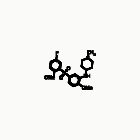 COc1ccc(S(=O)(=O)c2cc(F)ccc2OC)cc1NC1CCN(C)CC1